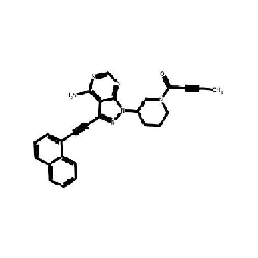 CC#CC(=O)N1CCCC(n2nc(C#Cc3cccc4ccccc34)c3c(N)ncnc32)C1